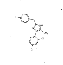 Cc1[nH]c(Cc2ccc(F)cc2)nc1-c1ccc(Cl)cc1Cl